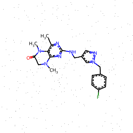 Cc1nc(NCc2cnn(Cc3ccc(F)cc3)c2)nc2c1N(C)C(=O)CN2C